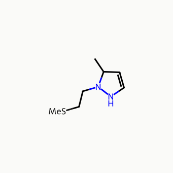 CSCCN1NC=CC1C